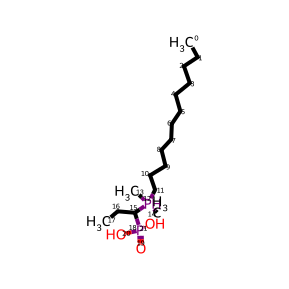 CCCCCCCCCCCC[PH](C)(C)C(CC)P(=O)(O)O